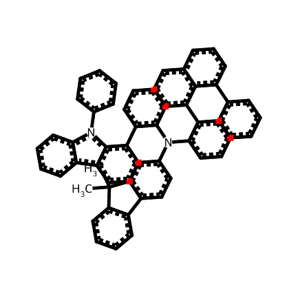 CC1(C)c2ccccc2-c2ccc(N(c3ccccc3-c3cccc4cccc(-c5ccccc5)c34)c3ccccc3-c3cccc4c5ccccc5n(-c5ccccc5)c34)cc21